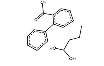 CCCC(O)O.O=C(O)c1ccccc1-c1ccccc1